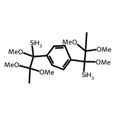 COC(C)(OC)C([SiH3])(OC)c1ccc(C([SiH3])(OC)C(C)(OC)OC)cc1